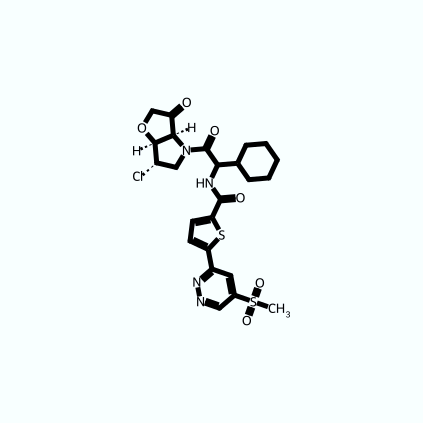 CS(=O)(=O)c1cnnc(-c2ccc(C(=O)NC(C(=O)N3C[C@H](Cl)[C@H]4OCC(=O)[C@H]43)C3CCCCC3)s2)c1